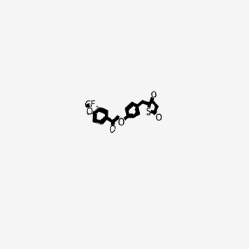 O=C1CC(=O)C(Cc2ccc(OCC(=O)c3ccc(OC(F)(F)F)cc3)cc2)S1